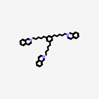 c1ccc2c[n+](CCCCCc3cc(CCCCC[n+]4ccc5ccccc5c4)cc(CCCCC[n+]4ccc5ccccc5c4)c3)ccc2c1